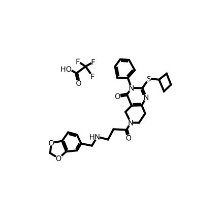 O=C(CCNCc1ccc2c(c1)OCO2)N1CCc2nc(SC3CCC3)n(-c3ccccc3)c(=O)c2C1.O=C(O)C(F)(F)F